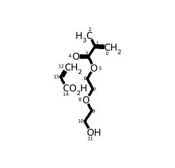 C=C(C)C(=O)OCCOCCO.C=CC(=O)O